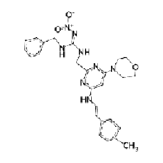 Cc1ccc(/C=C/Nc2cc(N3CCOCC3)nc(CN/C(=N/[N+](=O)[O-])NCc3ccccc3)n2)cc1